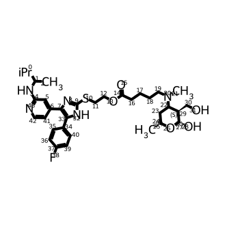 CC(C)C(C)Nc1cc(-c2nc(SCCOC(=O)CCCCN(C)C3C[C@@H](C)O[C@@H](O)[C@@H]3CO)[nH]c2-c2ccc(F)cc2)ccn1